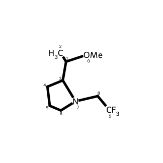 COC(C)C1CCCN1CC(F)(F)F